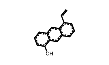 C=Cc1cccc2cc3c(O)cccc3cc12